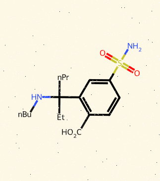 CCCCNC(CC)(CCC)c1cc(S(N)(=O)=O)ccc1C(=O)O